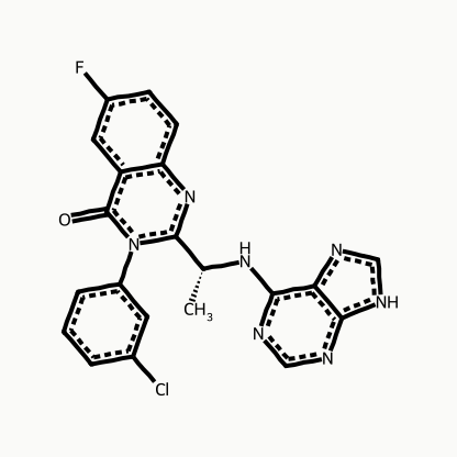 C[C@@H](Nc1ncnc2[nH]cnc12)c1nc2ccc(F)cc2c(=O)n1-c1cccc(Cl)c1